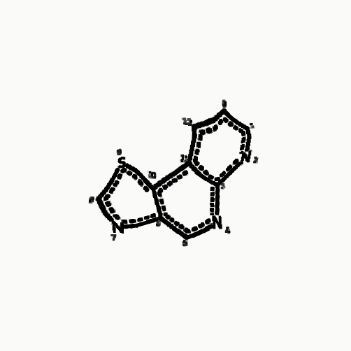 c1cnc2ncc3ncsc3c2c1